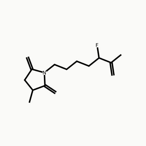 C=C(C)C(F)CCCCN1C(=C)CC(C)C1=C